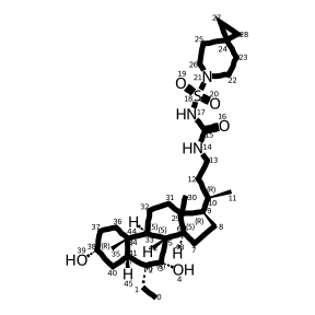 CC[C@H]1[C@@H](O)[C@H]2[C@@H]3CC[C@H]([C@H](C)CCNC(=O)NS(=O)(=O)N4CCC5(CC4)CC5)C3(C)CC[C@@H]2[C@@]2(C)CC[C@@H](O)C[C@@H]12